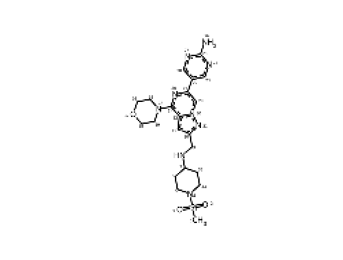 CS(=O)(=O)N1CCC(NCc2cc3c(N4CCOCC4)nc(-c4cnc(N)nc4)cn3n2)CC1